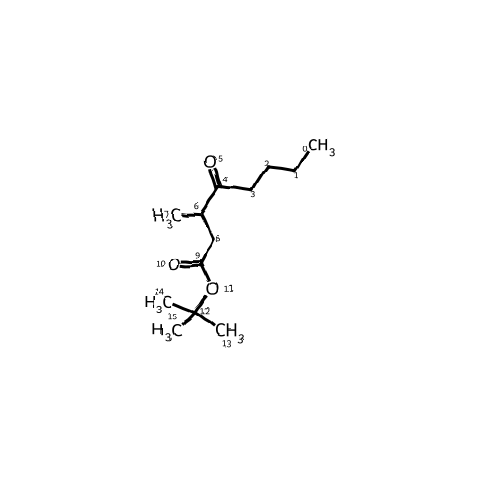 CCCCC(=O)C(C)CC(=O)OC(C)(C)C